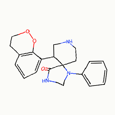 O=C1NCN(c2ccccc2)C12CCNCC2c1cccc2c1OOCC2